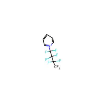 FC(F)(F)C(F)(F)C(F)(F)C(F)(F)[n+]1ccccc1